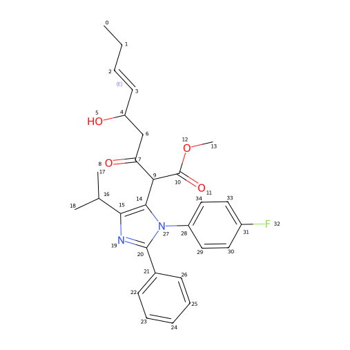 CC/C=C/C(O)CC(=O)C(C(=O)OC)c1c(C(C)C)nc(-c2ccccc2)n1-c1ccc(F)cc1